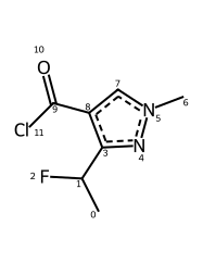 CC(F)c1nn(C)cc1C(=O)Cl